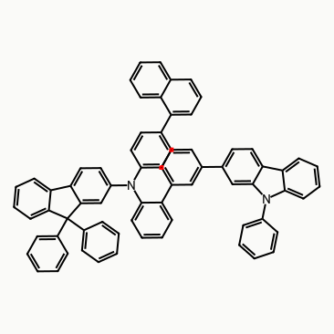 c1ccc(-n2c3ccccc3c3ccc(-c4cccc(-c5ccccc5N(c5ccc(-c6cccc7ccccc67)cc5)c5ccc6c(c5)C(c5ccccc5)(c5ccccc5)c5ccccc5-6)c4)cc32)cc1